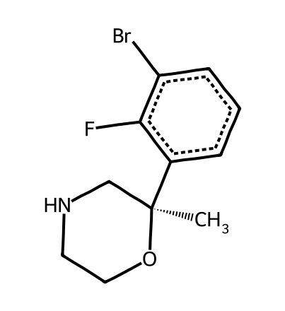 C[C@@]1(c2cccc(Br)c2F)CNCCO1